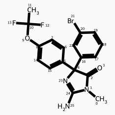 CN1C(=O)C(c2ccc(OC(C)(F)F)cc2)(c2cccc(Br)c2)N=C1N